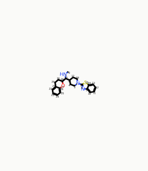 CNC(C1CCN(c2nc3ccccc3s2)CC1)C1CCc2ccccc2O1